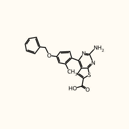 Cc1cc(OCc2ccccc2)ccc1-c1nc(N)nc2sc(C(=O)O)cc12